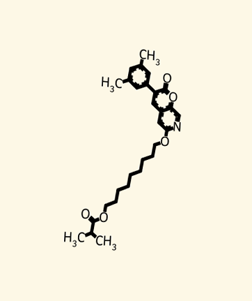 Cc1cc(C)cc(-c2cc3cc(OCCCCCCCCCOC(=O)C(C)C)ncc3oc2=O)c1